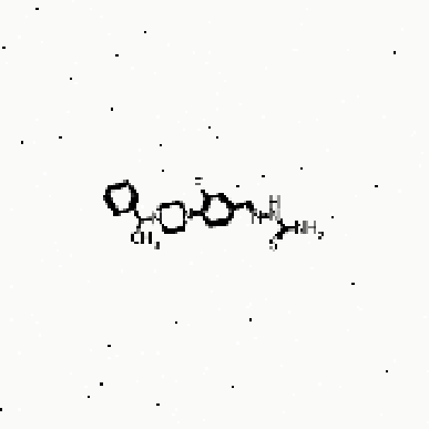 CC(c1ccccc1)N1CCN(c2ccc(C=NNC(N)=S)cc2F)CC1